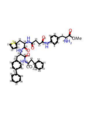 COC(=O)C(N)Cc1ccc(NC(=O)CCC(=O)NC(Cc2cccs2)C(=O)NC(Cc2ccc(-c3ccccc3)cc2)C(=O)NC(Cc2ccccc2)C(=O)O)cc1